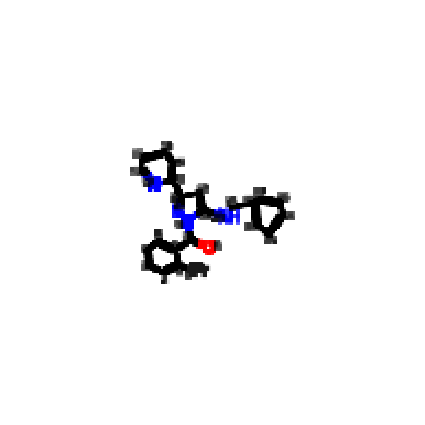 CC(C)c1ccccc1C(=O)n1nc(-c2ccccn2)cc1NCc1ccccc1